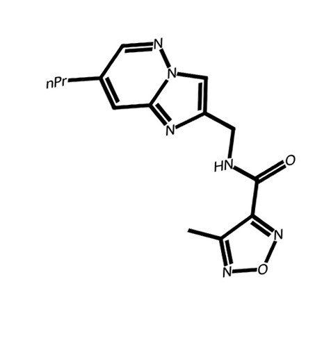 CCCc1cnn2cc(CNC(=O)c3nonc3C)nc2c1